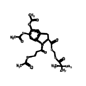 CC(=O)Oc1cc2c(cc1OC(C)=O)N(C(=O)CCSC(C)=O)[C@H](C(=O)OCOC(=O)C(C)(C)C)C2